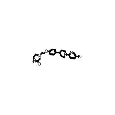 CN1CCN(CCOc2ccc(C3CCN(c4ccc(Br)cn4)CC3)cc2)CC1=O